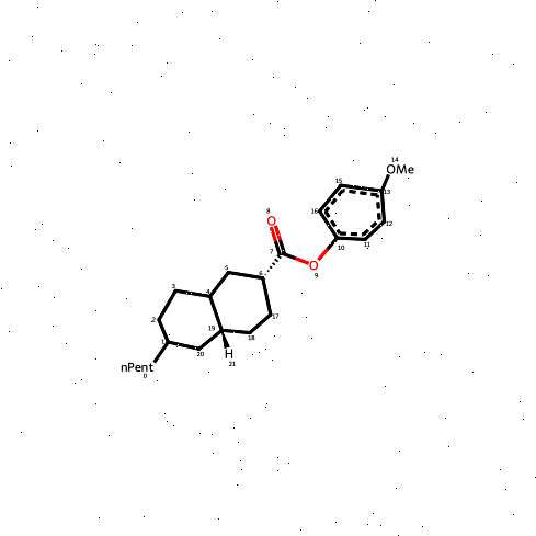 CCCCCC1CCC2C[C@H](C(=O)Oc3ccc(OC)cc3)CC[C@@H]2C1